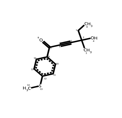 CCC(C)(O)C#CC(=O)c1ccc(SC)cc1